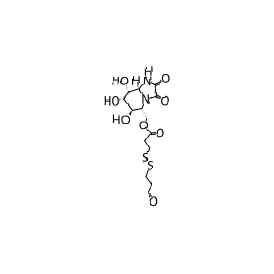 O=CCCSSCCC(=O)OC[C@@H]1[C@@H](O)[C@H](O)[C@H](O)[C@H]2NC(=O)C(=O)N12